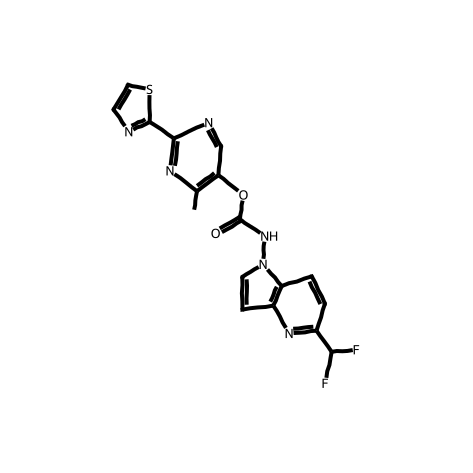 Cc1nc(-c2nccs2)ncc1OC(=O)Nn1ccc2nc(C(F)F)ccc21